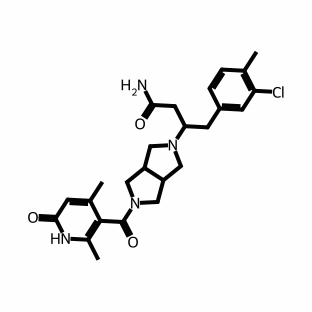 Cc1ccc(CC(CC(N)=O)N2CC3CN(C(=O)c4c(C)cc(=O)[nH]c4C)CC3C2)cc1Cl